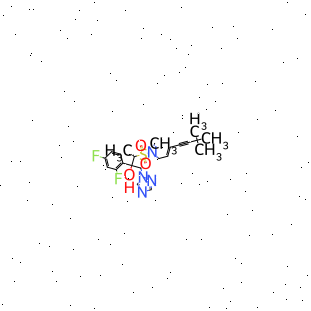 C[C@H]([C@](O)(Cn1cncn1)c1ccc(F)cc1F)S(=O)(=O)N(C)C/C=C/C#CC(C)(C)C